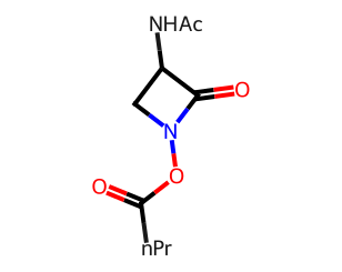 CCCC(=O)ON1CC(NC(C)=O)C1=O